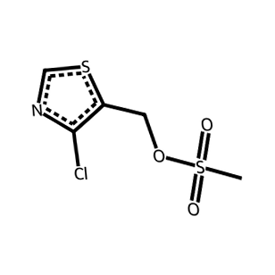 CS(=O)(=O)OCc1scnc1Cl